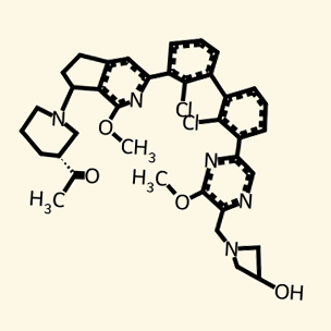 COc1nc(-c2cccc(-c3cccc(-c4cc5c(c(OC)n4)C(N4CCC[C@@H](C(C)=O)C4)CC5)c3Cl)c2Cl)cnc1CN1CC(O)C1